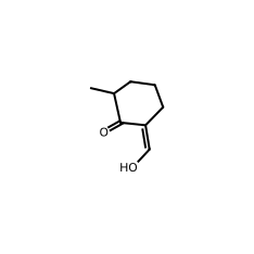 CC1CCCC(=CO)C1=O